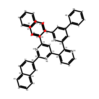 c1ccc(-c2cc(-c3ccccn3)nc(-c3ncccc3-c3cc(-c4ccc5ccccc5c4)nc(-c4ccc5ccccc5c4)n3)c2)cc1